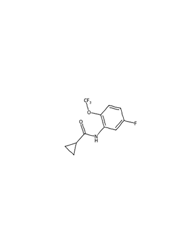 O=C(Nc1cc(F)ccc1OC(F)(F)F)C1CC1